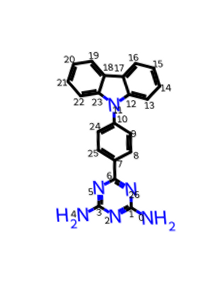 Nc1nc(N)nc(-c2ccc(-n3c4ccccc4c4ccccc43)cc2)n1